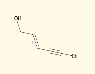 CCC#C/C=C/CO